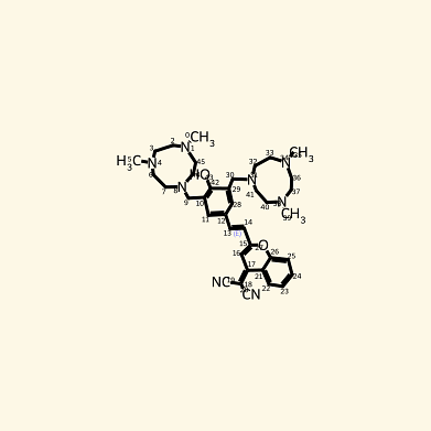 CN1CCN(C)CCN(Cc2cc(/C=C/C3=CC(=C(C#N)C#N)c4ccccc4O3)cc(CN3CCN(C)CCN(C)CC3)c2O)CC1